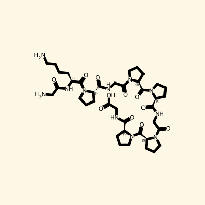 NCCCC[C@H](NC(=O)CN)C(=O)N1CCC[C@H]1C(=O)NCC(=O)N1CCC[C@H]1C(=O)N1CCC[C@H]1C(=O)NCC(=O)N1CCC[C@H]1C(=O)N1CCC[C@H]1C(=O)NCC(=O)O